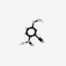 COc1[c]c(C#N)c([N+](=O)[O-])cc1